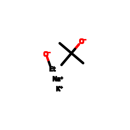 CC(C)(C)[O-].CC[O-].[K+].[Na+]